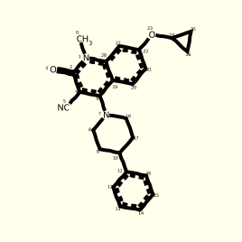 Cn1c(=O)c(C#N)c(N2CCC(c3ccccc3)CC2)c2ccc(OC3CC3)cc21